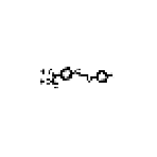 CC(C(=O)O)c1ccc(OCCOc2ccc(Cl)cc2)cc1